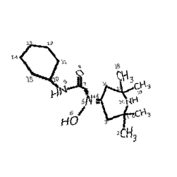 CC1(C)CC(=[N+](O)C(=O)NC2CCCCC2)CC(C)(C)N1